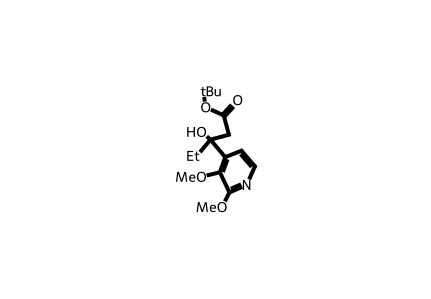 CCC(O)(CC(=O)OC(C)(C)C)c1ccnc(OC)c1OC